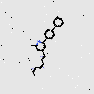 C\C=C/C=C\C=C\c1cc(C)nc(-c2ccc(-c3ccccc3)cc2)c1